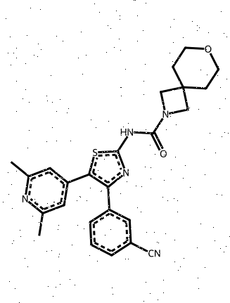 Cc1cc(-c2sc(NC(=O)N3CC4(CCOCC4)C3)nc2-c2cccc(C#N)c2)cc(C)n1